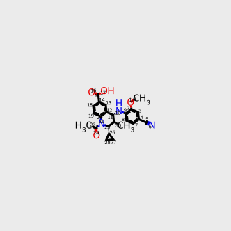 COc1cc(C#N)ccc1N[C@H]1c2cc(C(=O)O)ccc2N(C(C)=O)[C@@H](C2CC2)[C@@H]1C